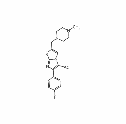 CC(=O)c1c(-c2ccc(F)cc2)nc2sc(CN3CCN(C)CC3)cn12